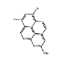 CC(C)(C)c1cc2ccc3c(F)cc(Br)c4ccc(c1)c2c34